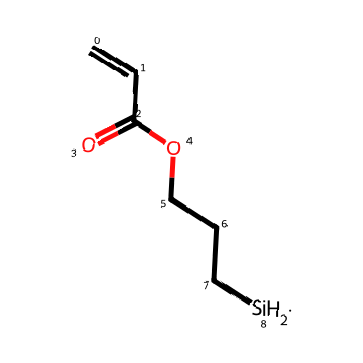 C=CC(=O)OCCC[SiH2]